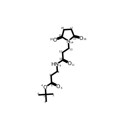 CC(C)(C)OC(=O)CCNC(=O)CCN1C(=O)CCC1=O